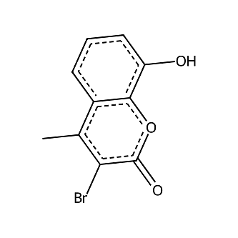 Cc1c(Br)c(=O)oc2c(O)cccc12